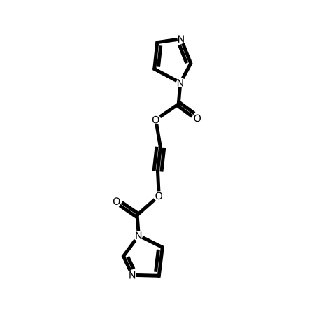 O=C(OC#COC(=O)n1ccnc1)n1ccnc1